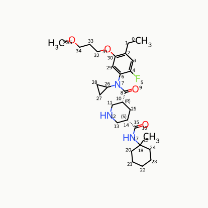 CCc1cc(F)c(N(C(=O)[C@H]2CNC[C@@H](C(=O)NC3(C)CCCCC3)C2)C2CC2)cc1OCCCOC